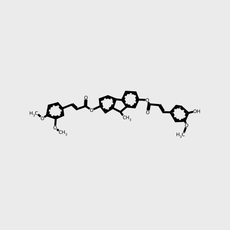 COc1cc(C=CC(=O)Oc2ccc3c(c2)C(C)c2cc(OC(=O)C=Cc4ccc(OC)c(OC)c4)ccc2-3)ccc1O